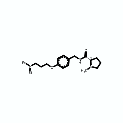 CCN(CC)CCCOc1ccc(CNC(=O)[C@@H]2CCCN2C)cc1